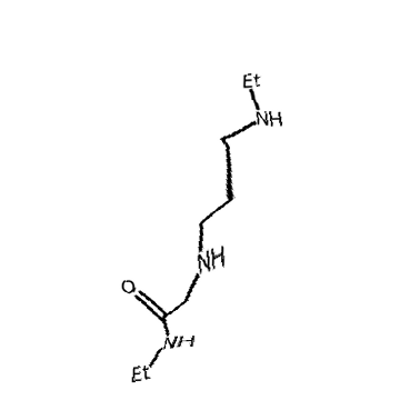 CCNCCCNC(=O)NCC